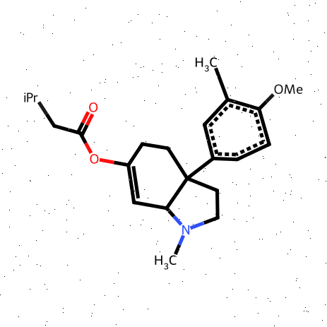 COc1ccc(C23CCC(OC(=O)CC(C)C)=CC2N(C)CC3)cc1C